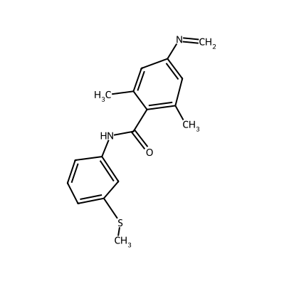 C=Nc1cc(C)c(C(=O)Nc2cccc(SC)c2)c(C)c1